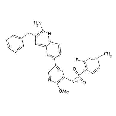 COc1ncc(-c2ccc3nc(N)c(Cc4ccccc4)cc3c2)cc1NS(=O)(=O)c1ccc(C)cc1F